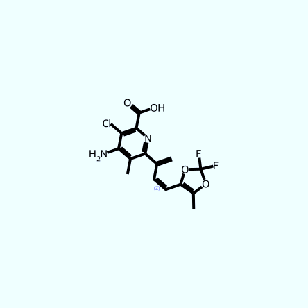 C=C(/C=C\C1=C(C)OC(F)(F)O1)c1nc(C(=O)O)c(Cl)c(N)c1C